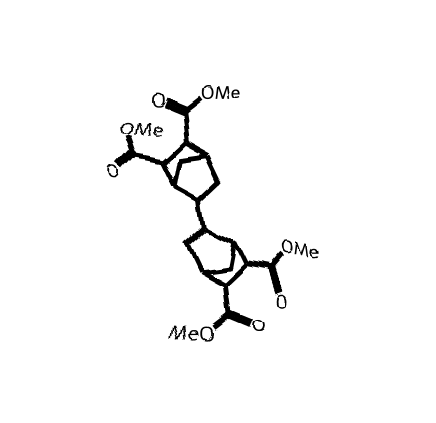 COC(=O)C1C2CC(C3CC4CC3C(C(=O)OC)C4C(=O)OC)C(C2)C1C(=O)OC